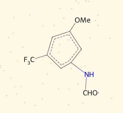 COc1cc(N[C]=O)cc(C(F)(F)F)c1